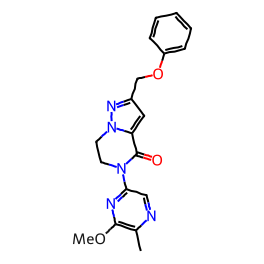 COc1nc(N2CCn3nc(COc4ccccc4)cc3C2=O)cnc1C